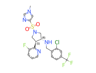 Cn1cnc(S(=O)(=O)N2C[C@H](NCc3ccc(C(F)(F)F)cc3Cl)[C@@H](c3ncccc3F)C2)c1